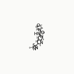 Cc1nnc(-c2cnc3cnc(NC(=O)N4CCOCC4)cc3c2)s1